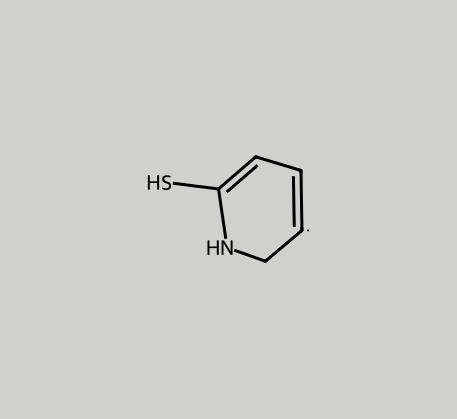 SC1=CC=[C]CN1